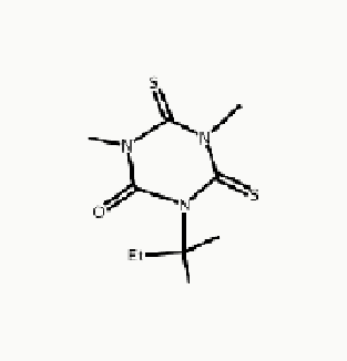 CCC(C)(C)n1c(=O)n(C)c(=S)n(C)c1=S